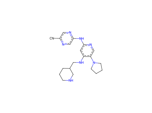 [C-]#[N+]c1cnc(Nc2cc(NCC3CCCNC3)c(N3CCCC3)cn2)cn1